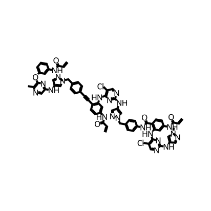 C=CC(=O)Nc1cccc(Oc2nc(Nc3cnn(Cc4ccc(C#Cc5ccc(NC(=O)C=C)cc5Nc5nc(Nc6cnn(Cc7ccc(NC(=O)c8ccc(NC(=O)C=C)cc8Nc8nc(Nc9cnn(C)c9)ncc8Cl)cc7)c6)ncc5Cl)cc4)c3)cnc2C)c1